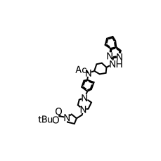 CC(=O)N(c1ccc(N2CCN(CC3CCN(C(=O)OC(C)(C)C)C3)CC2)cc1)C1CCC(Nc2ncc3ccccc3n2)CC1